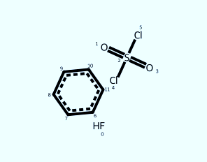 F.O=S(=O)(Cl)Cl.c1ccccc1